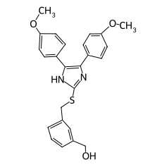 COc1ccc(-c2nc(SCc3cccc(CO)c3)[nH]c2-c2ccc(OC)cc2)cc1